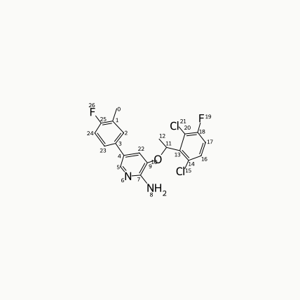 Cc1cc(-c2cnc(N)c(OC(C)c3c(Cl)ccc(F)c3Cl)c2)ccc1F